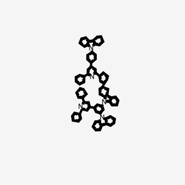 c1ccc(-c2cc(-c3cc(-n4c5ccccc5c5ccccc54)cc(-n4c5ccccc5c5cc(-c6cccc(-c7cc(-c8ccc(-n9c%10ccccc%10c%10ccccc%109)cc8)cc(-c8ccccc8)n7)c6)ccc54)c3)cc(-c3ccccc3)n2)cc1